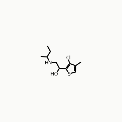 CCC(C)NCC(O)c1scc(C)c1Cl